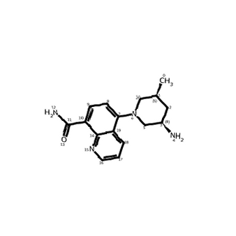 C[C@H]1C[C@@H](N)CN(c2ccc(C(N)=O)c3ncccc23)C1